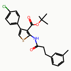 Cc1cccc(CCC(=O)Nc2scc(-c3ccc(Cl)cc3)c2C(=O)OC(C)(C)C)c1